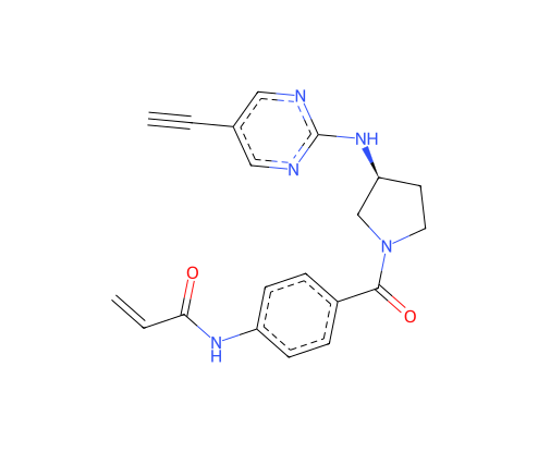 C#Cc1cnc(N[C@H]2CCN(C(=O)c3ccc(NC(=O)C=C)cc3)C2)nc1